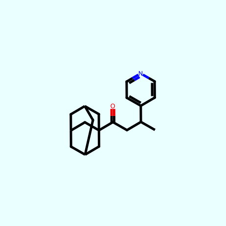 CC(CC(=O)C12CC3CC(CC(C3)C1)C2)c1ccncc1